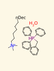 CCCCCCCCCCCCCCCC[N+](C)(C)C.O.c1ccc(C[PH](c2ccccc2)(c2ccccc2)c2ccccc2)cc1